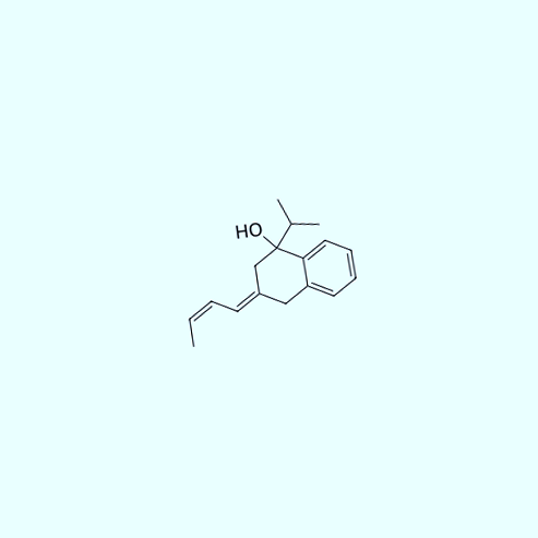 C/C=C\C=C1\Cc2ccccc2C(O)(C(C)C)C1